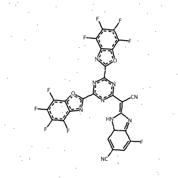 N#CC1=CC2N/C(=C(/C#N)c3nc(-c4nc5c(F)c(F)c(F)c(F)c5o4)nc(-c4nc5c(F)c(F)c(F)c(F)c5o4)n3)N=C2C(F)=C1